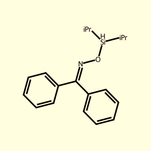 CC(C)[SiH](ON=C(c1ccccc1)c1ccccc1)C(C)C